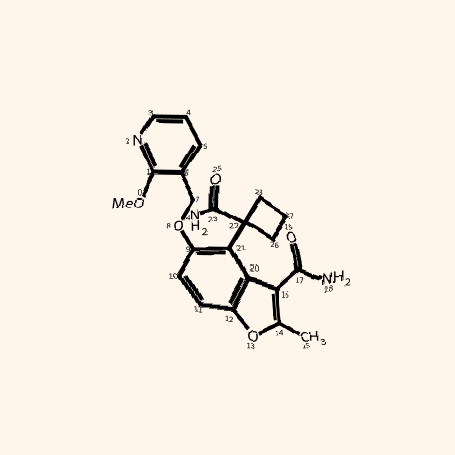 COc1ncccc1COc1ccc2oc(C)c(C(N)=O)c2c1C1(C(N)=O)CCC1